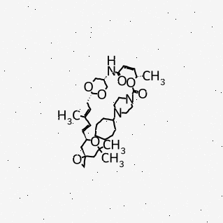 CC(/C=C/[C@@H]1C[C@]2(CO2)CC(C)(C)O1)=C\C[C@H]1OC[C@@H](NC(=O)/C=C\[C@H](C)OC(=O)N2CCN(C3CCCCCC3)CC2)CO1